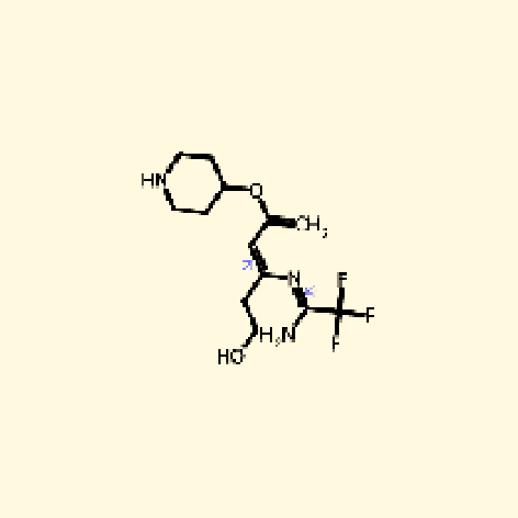 C=C(/C=C(CCO)\N=C(/N)C(F)(F)F)OC1CCNCC1